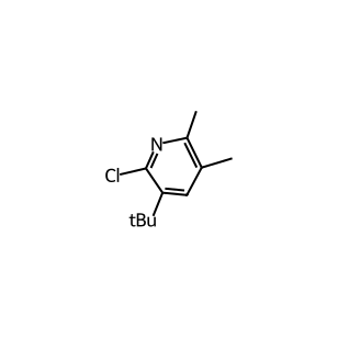 Cc1cc(C(C)(C)C)c(Cl)nc1C